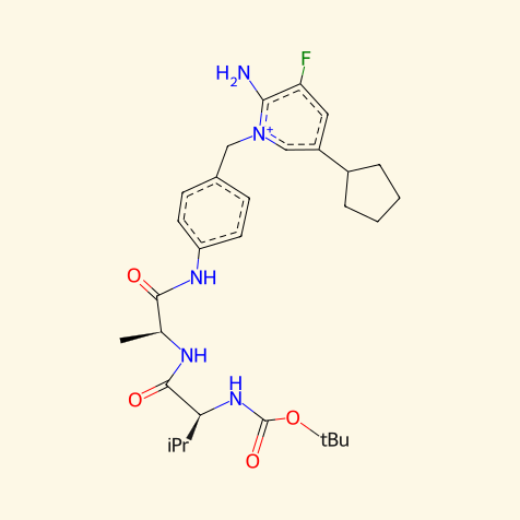 CC(C)[C@H](NC(=O)OC(C)(C)C)C(=O)N[C@@H](C)C(=O)Nc1ccc(C[n+]2cc(C3CCCC3)cc(F)c2N)cc1